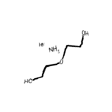 F.N.OCCOCCO